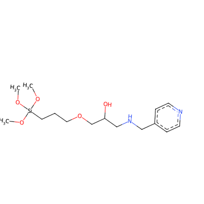 CO[Si](CCCOCC(O)CNCc1ccncc1)(OC)OC